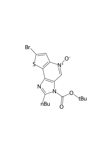 CCCCc1nc2c3sc(Br)cc3[n+]([O-])cc2n1C(=O)OC(C)(C)C